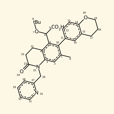 Cc1cc2c(c(C(OC(C)(C)C)C(=O)O)c1-c1ccc3c(c1)CCCO3)CCC(=O)N2Cc1ccccn1